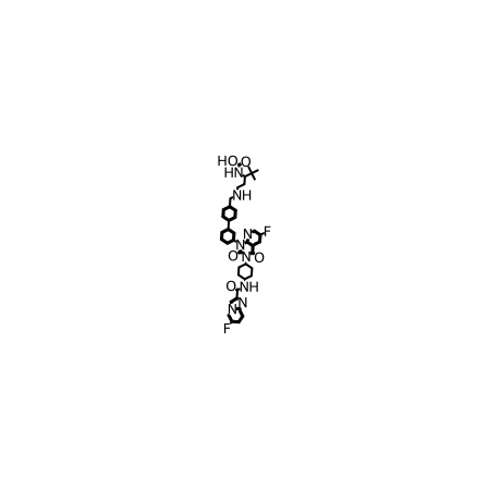 CC(C)(C)C(CCNCc1ccc(-c2cccc(-n3c(=O)n([C@H]4CC[C@@H](NC(=O)c5cn6cc(F)ccc6n5)CC4)c(=O)c4cc(F)cnc43)c2)cc1)NC(=O)O